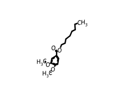 CCCCCCCCOC(=O)c1ccc(OC)c(OC)c1